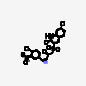 O=C(/C=C\c1ccc(Cl)c([N+](=O)[O-])c1)CS(=O)(=O)c1cc2ccc(Cl)cc2[nH]c1=O